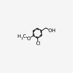 COc1ccc(CO)cc1Cl